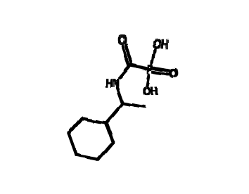 CC(NC(=O)P(=O)(O)O)C1CCCCC1